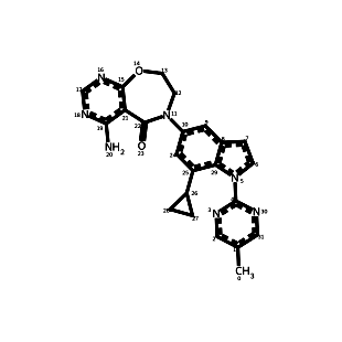 Cc1cnc(-n2ccc3cc(N4CCOc5ncnc(N)c5C4=O)cc(C4CC4)c32)nc1